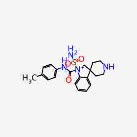 Cc1ccc(NC(=O)[N+]2(S(N)(=O)=O)CC3(CCNCC3)c3ccccc32)cc1